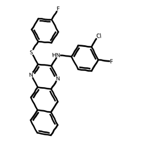 Fc1ccc(Sc2nc3cc4ccccc4cc3nc2Nc2ccc(F)c(Cl)c2)cc1